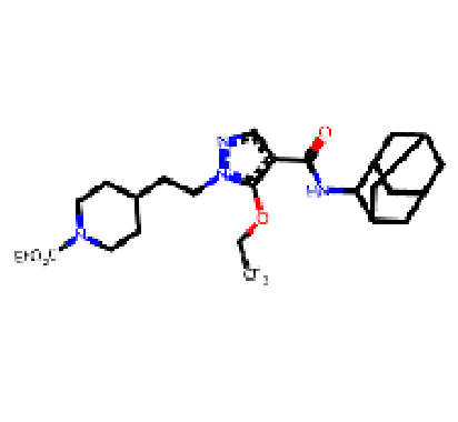 CCOC(=O)N1CCC(CCn2ncc(C(=O)NC3C4CC5CC(C4)CC3C5)c2OCC(F)(F)F)CC1